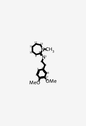 COc1ccc(CCN=C2CCCCCN2C)cc1OC